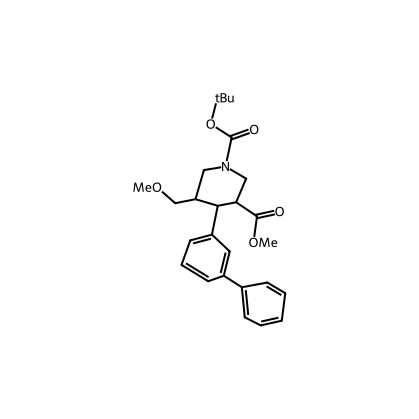 COCC1CN(C(=O)OC(C)(C)C)CC(C(=O)OC)C1c1cccc(-c2ccccc2)c1